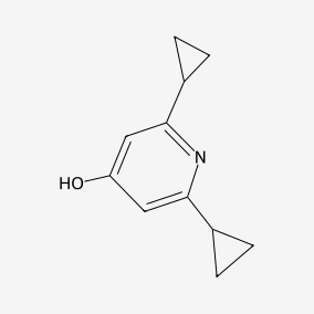 Oc1cc(C2CC2)nc(C2CC2)c1